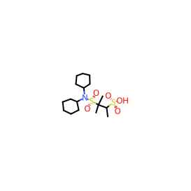 CC(C(C)(C)S(=O)(=O)N(C1CCCCC1)C1CCCCC1)S(=O)(=O)O